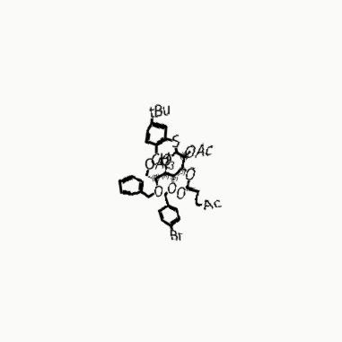 CC(=O)CCC(=O)O[C@H]1[C@H](OCc2ccc(Br)cc2)[C@@H]([C@@H](COC(C)=O)OCc2ccccc2)OC(Sc2cc(C(C)(C)C)ccc2C)[C@H]1OC(C)=O